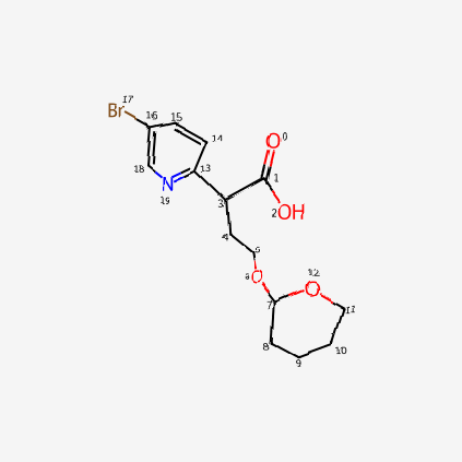 O=C(O)C(CCOC1CCCCO1)c1ccc(Br)cn1